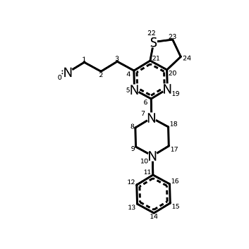 [N]CCCc1nc(N2CCN(c3ccccc3)CC2)nc2c1SCC2